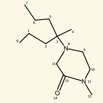 CCCC(C)(CCC)N1CCN(C)C(=O)C1